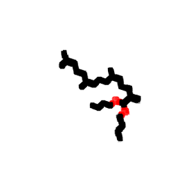 C=C(CCC=C(C)CCC=C(C)CCC=C(C)C)C(OCCCC)OCCCC